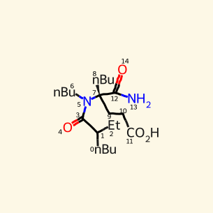 CCCCC(CC)C(=O)N(CCCC)[C@@](CCCC)(CCC(=O)O)C(N)=O